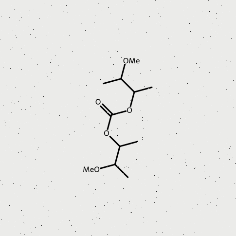 COC(C)C(C)OC(=O)OC(C)C(C)OC